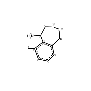 Cc1cccc2c1C(N)CCOC2